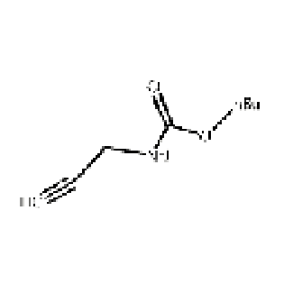 C#CCNC(=O)OCCCC